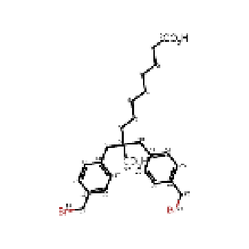 O=C(O)CCCCCCCC(Cc1ccc(CBr)cc1)(Cc1ccc(CBr)cc1)C(=O)O